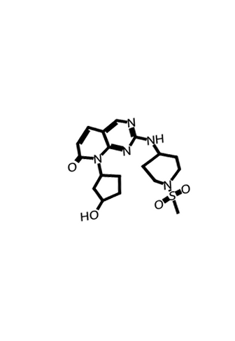 CS(=O)(=O)N1CCC(Nc2ncc3ccc(=O)n(C4CCC(O)C4)c3n2)CC1